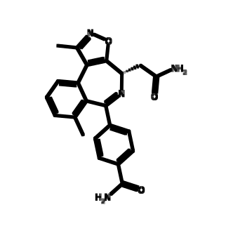 Cc1cccc2c1C(c1ccc(C(N)=O)cc1)=N[C@@H](CC(N)=O)c1onc(C)c1-2